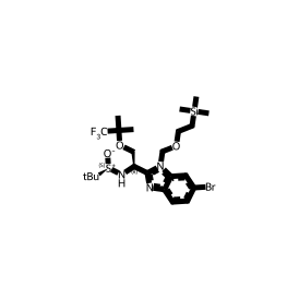 CC(C)(C)[S@@+]([O-])N[C@@H](COC(C)(C)C(F)(F)F)c1nc2ccc(Br)cc2n1COCC[Si](C)(C)C